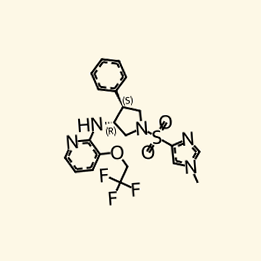 Cn1cnc(S(=O)(=O)N2C[C@H](Nc3ncccc3OCC(F)(F)F)[C@@H](c3ccccc3)C2)c1